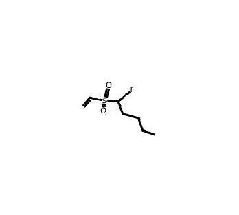 C=CS(=O)(=O)C(F)CCCC